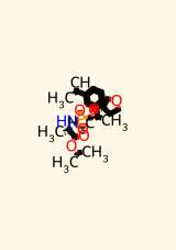 CC(C)OC(=O)[C@H](C)NP(=O)(CO[C@@H]1CCOC1)Oc1c(C(C)C)cccc1C(C)C